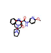 COc1ccc(NC(=O)c2nc3ccccc3n(C3CC4CCC(C3)N4C3CCCCCCC3)c2=O)cn1